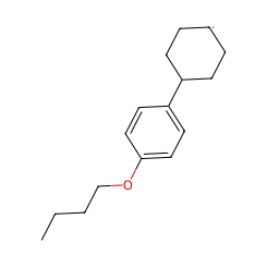 CCCCOc1ccc(C2CC[CH]CC2)cc1